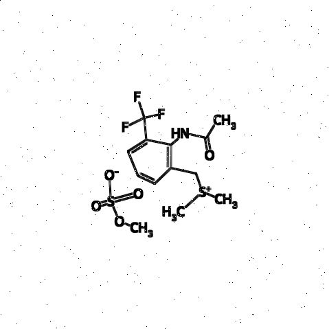 CC(=O)Nc1c(C[S+](C)C)cccc1C(F)(F)F.COS(=O)(=O)[O-]